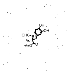 CC(=O)OC(=O)[C@](Cc1ccc(O)c(O)c1)(NC=O)C(C)=O